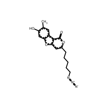 Cc1cc2c(cc1O)oc1cc(CCCCCN=[N+]=[N-])oc(=O)c12